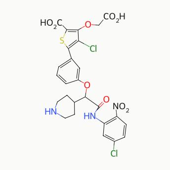 O=C(O)COc1c(C(=O)O)sc(-c2cccc(OC(C(=O)Nc3cc(Cl)ccc3[N+](=O)[O-])C3CCNCC3)c2)c1Cl